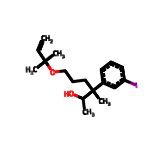 C=CC(C)(C)OCCCC(C)(c1cccc(I)c1)C(C)O